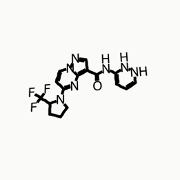 O=C(NC1=CC=CNN1)c1cnn2ccc(N3CCCC3C(F)(F)F)nc12